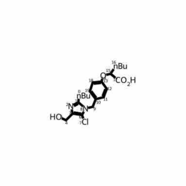 CCCCc1nc(CO)c(Cl)n1Cc1ccc(OC(CCCC)C(=O)O)cc1